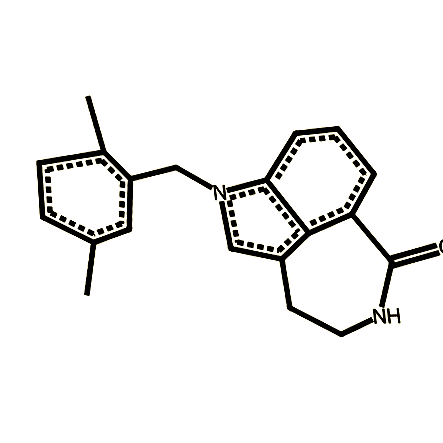 Cc1ccc(C)c(Cn2cc3c4c(cccc42)C(=O)NCC3)c1